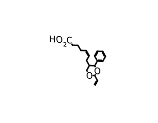 C=CC1OCC(C/C=C\CCCC(=O)O)C(c2ccccc2)O1